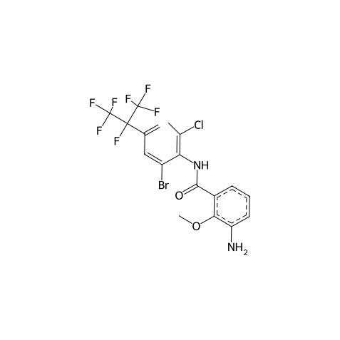 C=C(/C=C(Br)\C(NC(=O)c1cccc(N)c1OC)=C(/C)Cl)C(F)(C(F)(F)F)C(F)(F)F